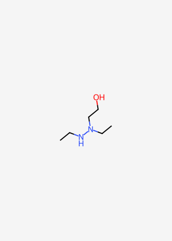 CCNN(CC)CCO